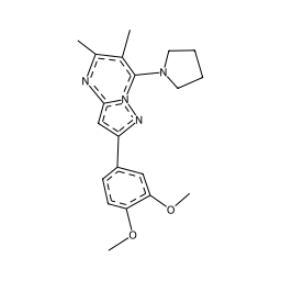 COc1ccc(-c2cc3nc(C)c(C)c(N4CCCC4)n3n2)cc1OC